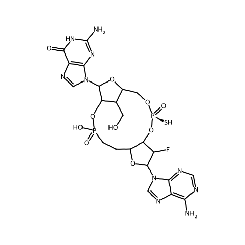 Nc1nc2c(ncn2C2OC3CO[P@@](=O)(S)OC4C(CCP(=O)(O)OC2C3CO)OC(n2cnc3c(N)ncnc32)C4F)c(=O)[nH]1